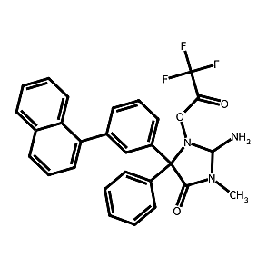 CN1C(=O)C(c2ccccc2)(c2cccc(-c3cccc4ccccc34)c2)N(OC(=O)C(F)(F)F)C1N